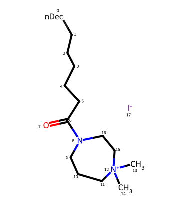 CCCCCCCCCCCCCCCC(=O)N1CCC[N+](C)(C)CC1.[I-]